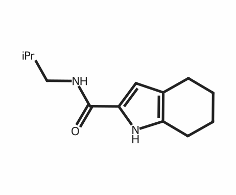 CC(C)CNC(=O)c1cc2c([nH]1)CCCC2